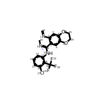 C=Nc1cc2c(cc1/C(=N\C)Nc1cccc(Cl)c1C(F)(F)F)OCCO2